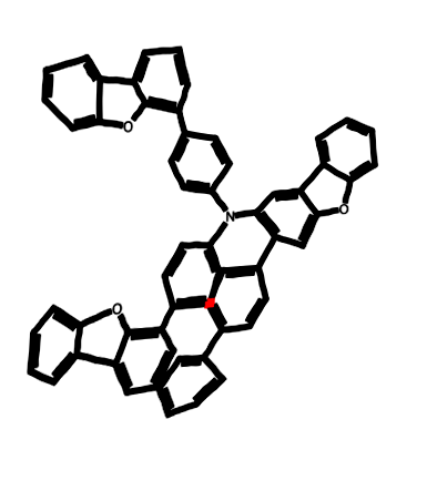 c1ccc(-c2ccc(-c3cc4oc5ccccc5c4cc3N(c3ccc(-c4cccc5c4oc4ccccc45)cc3)c3ccc(-c4cccc5c4oc4ccccc45)cc3)cc2)cc1